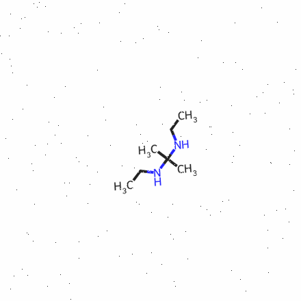 CCNC(C)(C)NCC